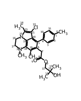 Cc1ccc(-c2c(CC(=O)OCC(C)(C)O)c(C)c3c4c2c(Cl)c(C)n4CCN3C)cc1